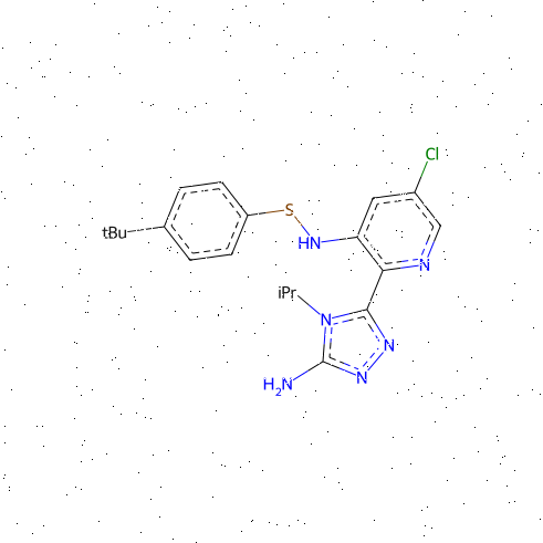 CC(C)n1c(N)nnc1-c1ncc(Cl)cc1NSc1ccc(C(C)(C)C)cc1